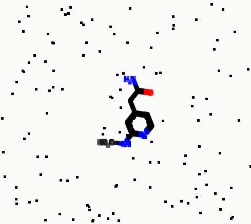 NC(=O)Cc1ccnc(NC(=O)O)c1